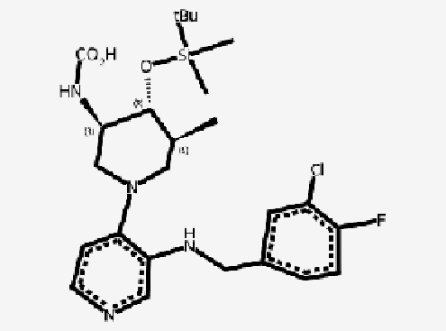 C[C@H]1CN(c2ccncc2NCc2ccc(F)c(Cl)c2)C[C@@H](NC(=O)O)[C@@H]1O[Si](C)(C)C(C)(C)C